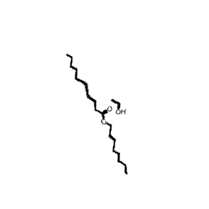 CCCCCCCCCC(=O)OCCCCCCCC.CCO